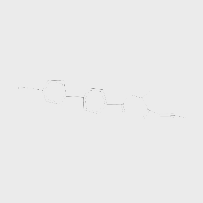 CC#CC(=O)C(C)OC(=O)c1ccc(-c2ncc(CCCCCC)cn2)cc1